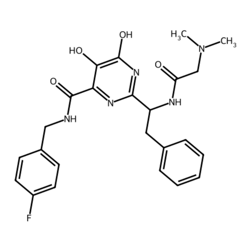 CN(C)CC(=O)NC(Cc1ccccc1)c1nc(O)c(O)c(C(=O)NCc2ccc(F)cc2)n1